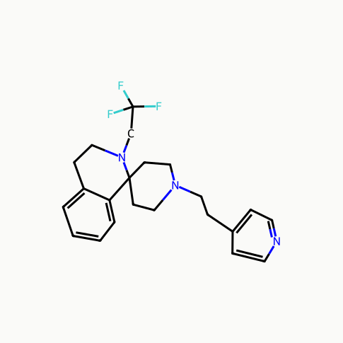 FC(F)(F)CN1CCc2ccccc2C12CCN(CCc1ccncc1)CC2